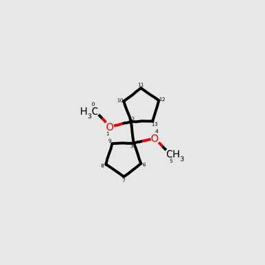 COC1(C2(OC)CCCC2)CCCC1